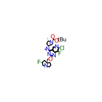 C[C@H]1C[C@@H](N(C)c2nc(OC[C@@]34CCCN3C[C@H](F)C4)nc3c(F)c(Cl)ncc23)CN1C(=O)OC(C)(C)C